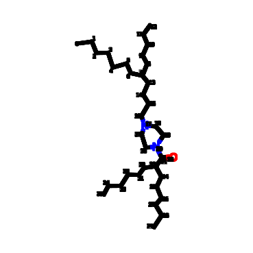 CCCCCCCC(CCCCC)CCCCN1CCN(C(=O)C(CCCCCC)CCCCCC)CC1